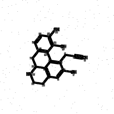 C#CCc1c(O)cc2c3c1-c1c(ccc(O)c1O)CC3NCC2